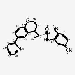 CCCCc1ccc(C#N)cc1NC(=O)[C@@H]1C[C@]12CCOc1ccc(-c3ccccn3)cc12